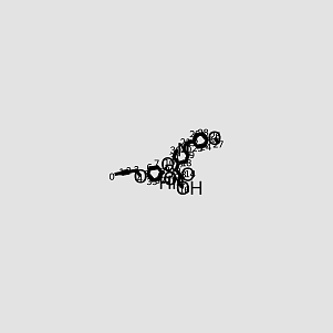 CC#CCOc1ccc(S(=O)(=O)C(C(=O)NO)C2CCN(Cc3ccc(OC)cc3)CC2)cc1